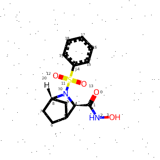 O=C(NO)[C@H]1C2CC[C@@H](C2)N1S(=O)(=O)c1ccccc1